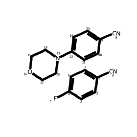 N#Cc1ccc(F)cc1.N#Cc1ccc(N2CCOCC2)cc1